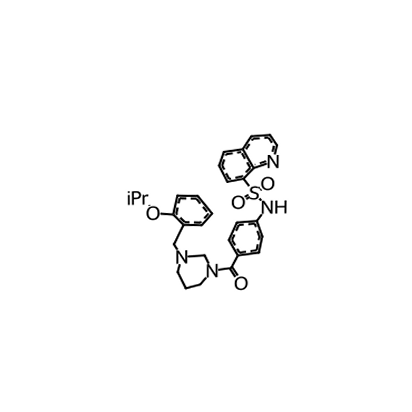 CC(C)Oc1ccccc1CN1CCCN(C(=O)c2ccc(NS(=O)(=O)c3cccc4cccnc34)cc2)C1